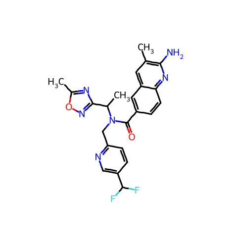 Cc1nc(C(C)N(Cc2ccc(C(F)F)cn2)C(=O)c2ccc3nc(N)c(C)cc3c2)no1